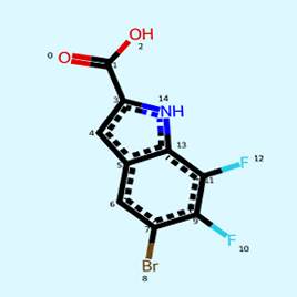 O=C(O)c1cc2cc(Br)c(F)c(F)c2[nH]1